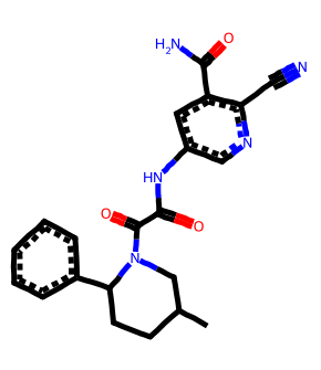 CC1CCC(c2ccccc2)N(C(=O)C(=O)Nc2cnc(C#N)c(C(N)=O)c2)C1